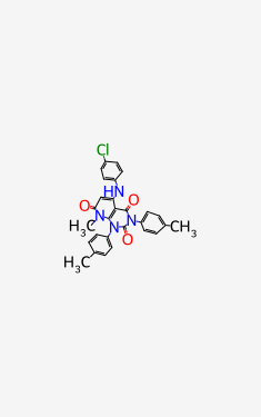 Cc1ccc(-n2c(=O)c3c(Nc4ccc(Cl)cc4)cc(=O)n(C)c3n(-c3ccc(C)cc3)c2=O)cc1